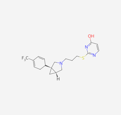 Oc1ccnc(SCCCN2C[C@@H]3C[C@]3(C3C=CC(C(F)(F)F)=CC3)C2)n1